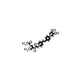 CCC(CSC(C)=O)NC(=O)C[n+]1ccc(/C=C/c2ccc(N3CC(O)C(O)C3)cc2)cc1